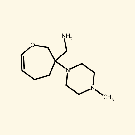 CN1CCN(C2(CN)CCC=COC2)CC1